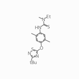 CCN(C)C(=S)Nc1cc(C)c(Oc2nc(C(C)(C)C)ns2)cc1C